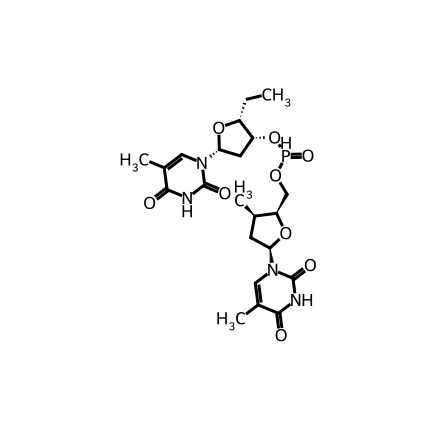 CC[C@H]1O[C@@H](n2cc(C)c(=O)[nH]c2=O)C[C@H]1O[PH](=O)OC[C@H]1O[C@@H](n2cc(C)c(=O)[nH]c2=O)C[C@H]1C